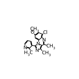 COc1cc(Cl)c2nc(C)c3c(C)nc(-c4cccnc4C)n3c2c1